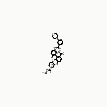 COc1ccc(C(N)=O)c(-c2cc(NC(=O)c3cccc(N4CCOCC4)c3)ccc2C)c1OC1CCN(C(=O)OC(C)(C)C)CC1